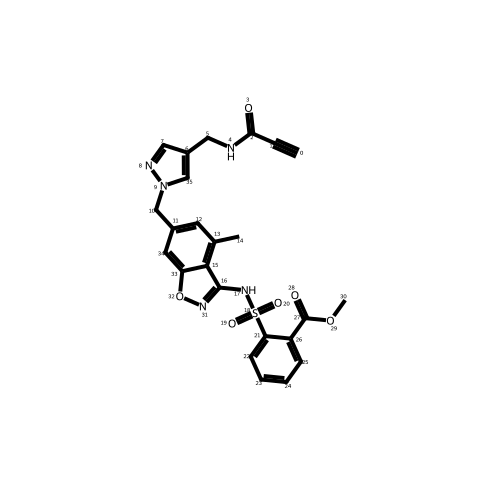 C#CC(=O)NCc1cnn(Cc2cc(C)c3c(NS(=O)(=O)c4ccccc4C(=O)OC)noc3c2)c1